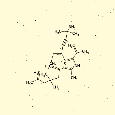 C=C(C)CC(C)(C)CC(=C)c1c(C)[nH]c(C(=C)C)c1/C(C#CC(C)(C)N)=C\C